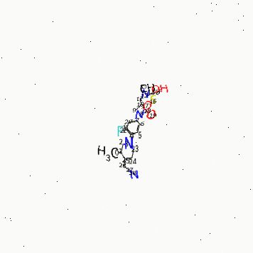 CC1CN(c2ccc(N3C[C@@H](CN(C)C(O)=S)OC3=O)cc2F)CCC1=CC#N